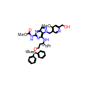 CCC[C@@H](CCO[Si](c1ccccc1)(c1ccccc1)C(C)(C)C)Nc1nc(NC(=O)OC)nc2cnn(Cc3cnc(CO)cc3OC)c12